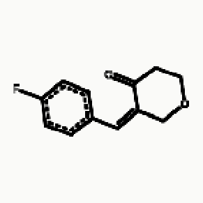 O=C1CCOCC1=Cc1ccc(F)cc1